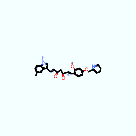 COc1cc(OCC2=CCCC=N2)ccc1/C=C/C(=O)CC(=O)/C=C/c1c[nH]c2ccc(C)cc12